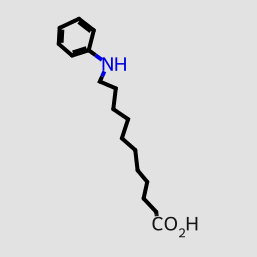 O=C(O)CCCCCCCCCCNc1ccccc1